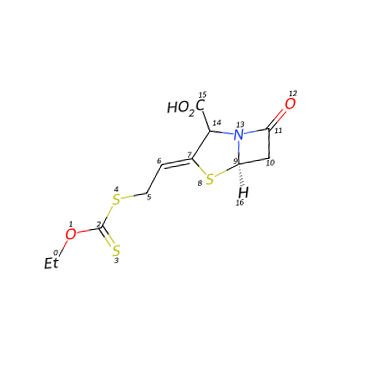 CCOC(=S)SCC=C1S[C@@H]2CC(=O)N2C1C(=O)O